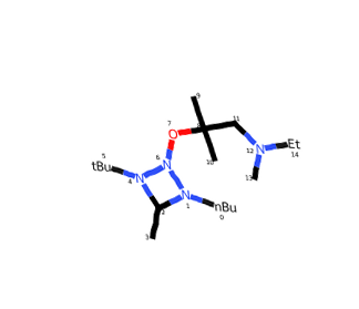 CCCCN1C(C)N(C(C)(C)C)N1OC(C)(C)CN(C)CC